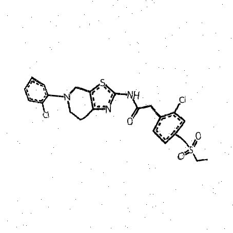 CCS(=O)(=O)c1ccc(CC(=O)Nc2nc3c(s2)CN(c2ccccc2Cl)CC3)c(Cl)c1